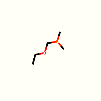 CCOCP(C)C